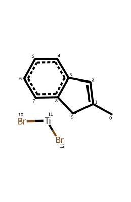 CC1=Cc2ccccc2[CH]1.[Br][Ti][Br]